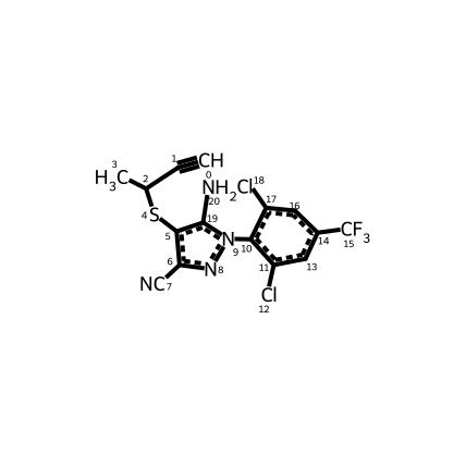 C#CC(C)Sc1c(C#N)nn(-c2c(Cl)cc(C(F)(F)F)cc2Cl)c1N